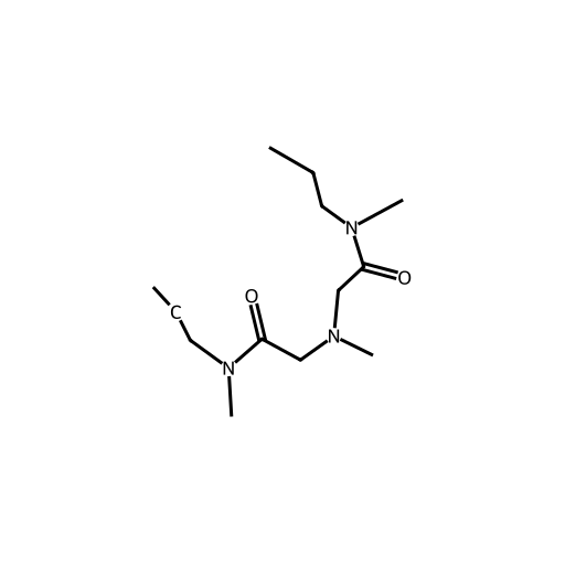 CCCN(C)C(=O)CN(C)CC(=O)N(C)CCC